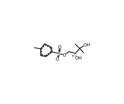 Cc1ccc(S(=O)(=O)OC[C@@H](O)C(C)(C)O)cc1